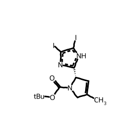 CC1=C[C@@H](c2nc(I)c(I)[nH]2)N(C(=O)OC(C)(C)C)C1